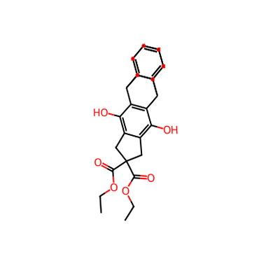 CCOC(=O)C1(C(=O)OCC)Cc2c(O)c3c(c(O)c2C1)C1c2ccccc2C3c2ccccc21